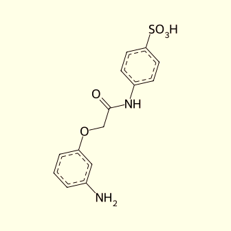 Nc1cccc(OCC(=O)Nc2ccc(S(=O)(=O)O)cc2)c1